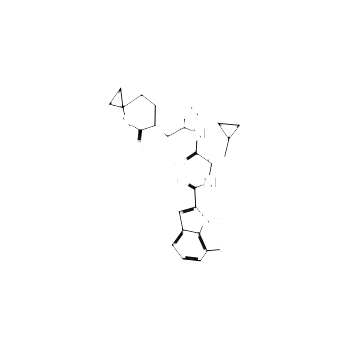 N#C[C@H](C[C@@H]1CCC2(CC2)NC1=O)NC(=O)[C@H](CC1CC1)NC(=O)c1cc2cccc(Cl)c2[nH]1